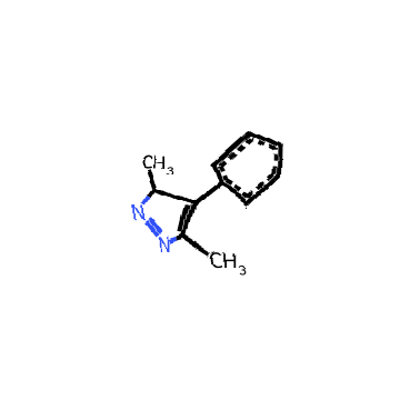 CC1=C(c2[c]cccc2)C(C)N=N1